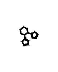 C1=CCC([C]2CCCCC2C2=CC=CC2)=C1